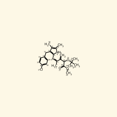 C=C(/C(C)=N\c1[nH]c(C)c(C)c1Cc1ccc(Cl)cc1)C(OC(C)(C)C)C(=O)OC